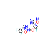 CN(C)C(=O)c1cnn(C)c1-c1cc(OC2CN(C(=O)N3N=CC[C@H]3c3cc(F)cc(F)c3)C2)c(F)cn1